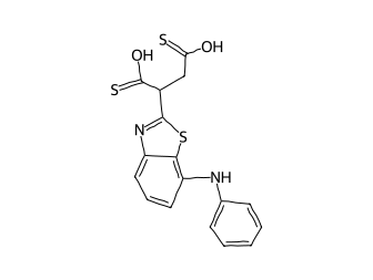 OC(=S)CC(C(O)=S)c1nc2cccc(Nc3ccccc3)c2s1